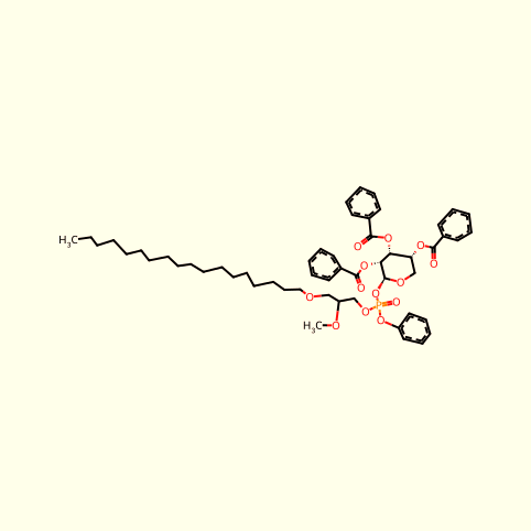 CCCCCCCCCCCCCCCCCCOCC(COP(=O)(Oc1ccccc1)O[C@@H]1OC[C@@H](OC(=O)c2ccccc2)[C@@H](OC(=O)c2ccccc2)[C@H]1OC(=O)c1ccccc1)OC